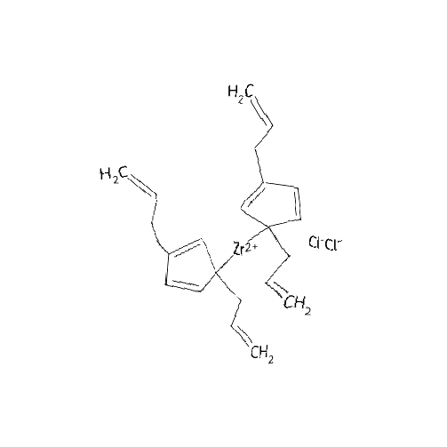 C=CCC1=C[C](CC=C)([Zr+2][C]2(CC=C)C=CC(CC=C)=C2)C=C1.[Cl-].[Cl-]